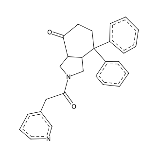 O=C1CCC(c2ccccc2)(c2ccccc2)C2CN(C(=O)Cc3cccnc3)CC12